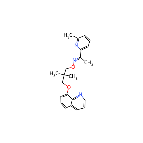 C/C(=N\OCC(C)(C)COc1cccc2cccnc12)c1cccc(C)n1